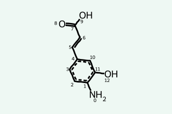 Nc1ccc(C=CC(=O)O)cc1O